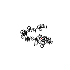 CC(C)(C)OC(=O)CCCCCCNC(=O)c1ccc(S(=O)(=O)N(CC#N)C(=O)CCc2cn(CCOCCNC(=O)c3ccc4c(c3)C3(OC4=O)c4ccc(N5CCC5)cc4[Si](C)(C)c4cc(N5CCC5)ccc43)nn2)cc1